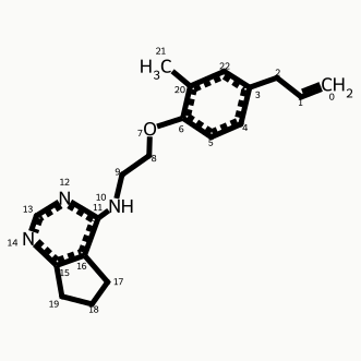 C=CCc1ccc(OCCNc2ncnc3c2CCC3)c(C)c1